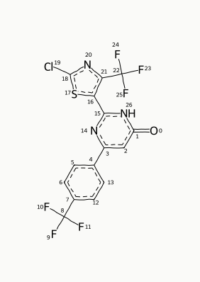 O=c1cc(-c2ccc(C(F)(F)F)cc2)nc(-c2sc(Cl)nc2C(F)(F)F)[nH]1